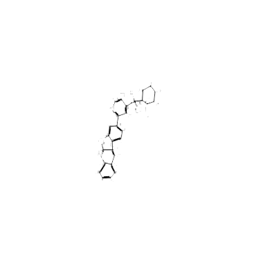 BC(B)(c1ccnc(-c2ccc3c(c2)oc2nc4ccccc4cc23)c1)C1CCCCC1